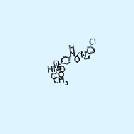 COC(=O)NS(=O)(=O)c1ccc(NC(=O)Cn2ccc3ccc(Cl)cc32)cc1